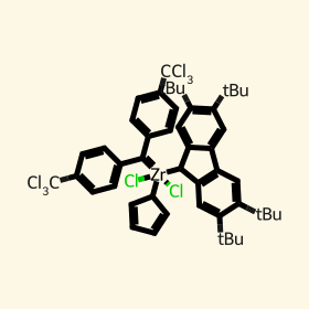 CC(C)(C)c1cc2c(cc1C(C)(C)C)[CH]([Zr]([Cl])([Cl])(=[C](c1ccc(C(Cl)(Cl)Cl)cc1)c1ccc(C(Cl)(Cl)Cl)cc1)[CH]1C=CC=C1)c1cc(C(C)(C)C)c(C(C)(C)C)cc1-2